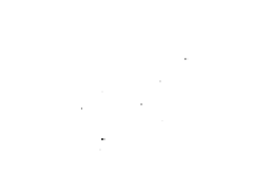 CC(C)CC(C(=O)c1nnc(SCCN(C)C)o1)N(C=O)OCC(C)(C)C.Cl